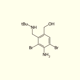 CC(C)(C)NCc1c(CO)cc(Br)c(N)c1Br